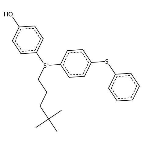 CC(C)(C)CCC[S+](c1ccc(O)cc1)c1ccc(Sc2ccccc2)cc1